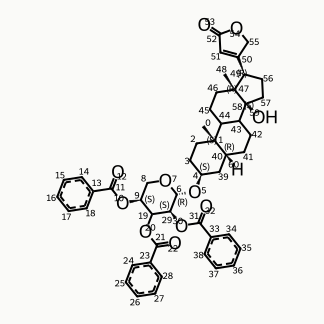 C[C@]12CC[C@H](O[C@H]3OC[C@H](OC(=O)c4ccccc4)C(OC(=O)c4ccccc4)[C@@H]3OC(=O)c3ccccc3)C[C@H]1CCC1C2CC[C@]2(C)[C@@H](C3=CC(=O)OC3)CC[C@]12O